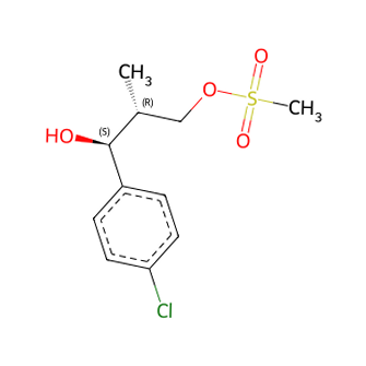 C[C@H](COS(C)(=O)=O)[C@H](O)c1ccc(Cl)cc1